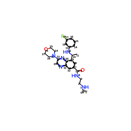 CC(C)NCCNC(=O)c1cc(C(C)Nc2cccc(F)c2)c2nc(N3CCOCC3)cnc2c1